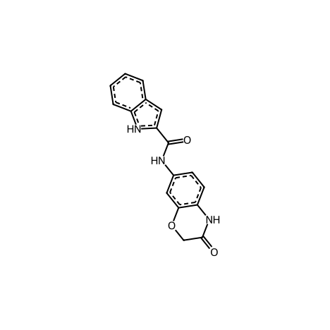 O=C1COc2cc(NC(=O)c3cc4ccccc4[nH]3)ccc2N1